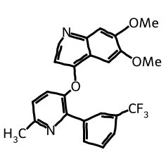 COc1cc2nccc(Oc3ccc(C)nc3-c3cccc(C(F)(F)F)c3)c2cc1OC